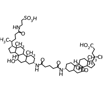 C[C@H](CCC(=O)O)[C@H]1CC[C@@H]2[C@]1(C)CC[C@@H]1[C@]23O[C@H]3CC2C[C@H](NC(=O)CCCC(=O)N[C@H]3CC[C@]4(C)C(C3)C[C@@H](O)[C@H]3C4CC[C@]4(C)C3CC[C@H]4[C@@H](C)CCC(=O)NCCS(=O)(=O)O)CC[C@@]21C